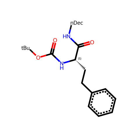 CCCCCCCCCCNC(=O)[C@H](CCc1ccccc1)NC(=O)OC(C)(C)C